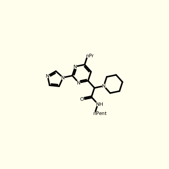 CCCCCNC(=O)C(c1cc(CCC)nc(-n2ccnc2)n1)N1CCCCC1